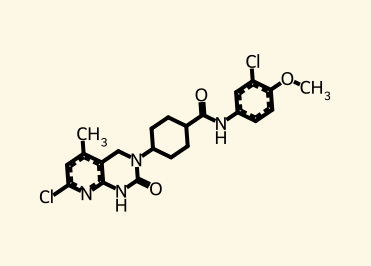 COc1ccc(NC(=O)C2CCC(N3Cc4c(C)cc(Cl)nc4NC3=O)CC2)cc1Cl